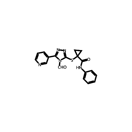 O=Cn1c(SC2(C(=O)Nc3ccccc3)CC2)nnc1-c1cccnc1